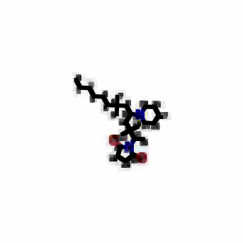 CCCCCCC(C)(C)CC(CC(C)(C)C(C)N1C(=O)CCC1=O)N1CCCCC1